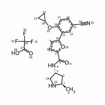 C[C@@H]1C[C@@H](NC(=O)c2ncc(-c3cc(C#N)ccc3OC3CC3)o2)CN1.O=C(O)C(F)(F)F